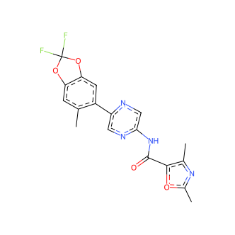 Cc1nc(C)c(C(=O)Nc2cnc(-c3cc4c(cc3C)OC(F)(F)O4)cn2)o1